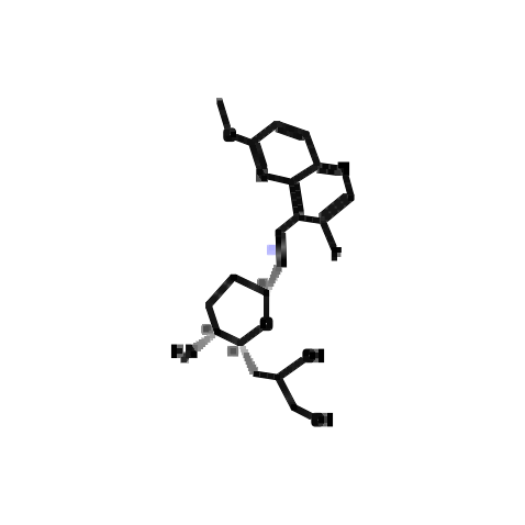 COc1ccc2ncc(F)c(/C=C/[C@H]3CC[C@@H](N)[C@@H](CC(O)CO)O3)c2n1